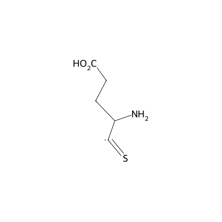 NC([C]=S)CCC(=O)O